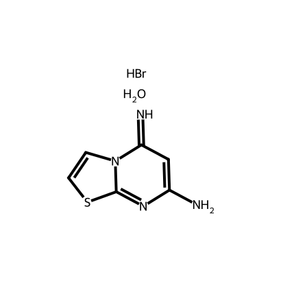 Br.N=c1cc(N)nc2sccn12.O